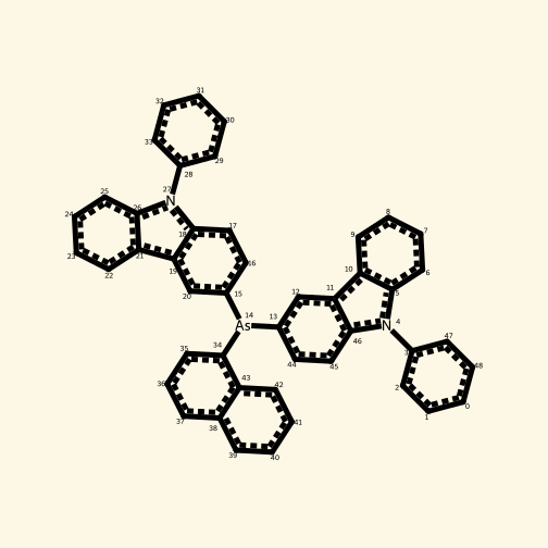 c1ccc(-n2c3ccccc3c3cc([As](c4ccc5c(c4)c4ccccc4n5-c4ccccc4)c4cccc5ccccc45)ccc32)cc1